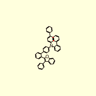 c1ccc(-c2ccc(N(c3ccc(-c4ccccc4-c4oc5ccccc5c4-c4ccccc4)cc3)c3ccccc3-c3ccccc3)cc2)cc1